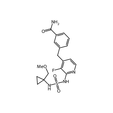 COCC1(NS(=O)(=O)Nc2nccc(Cc3cccc(C(N)=O)c3)c2F)CC1